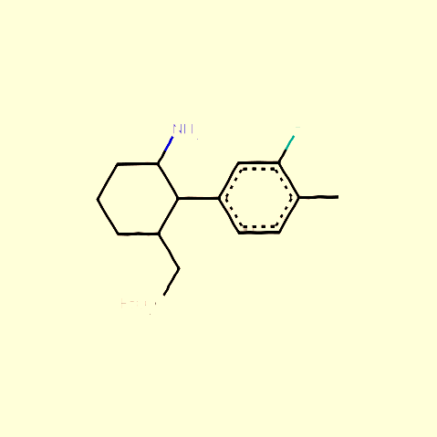 CCOC(=O)CC1CCCC(N)C1c1ccc(C)c(F)c1